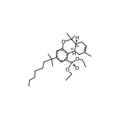 CCCCCCC(C)(C)c1cc2c(c(P(=O)(OCC)OCC)c1)[C@@H]1CC(C)=CC[C@H]1C(C)(C)O2